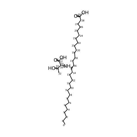 CCCCCCCCCCCCCCCCCCCCCCCCCCCCCC(=O)O.C[C@@H](O)[C@H](N)C(=O)O